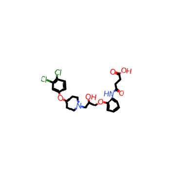 O=C(O)CCC(=O)Nc1ccccc1OCC(O)CN1CCC(Oc2ccc(Cl)c(Cl)c2)CC1